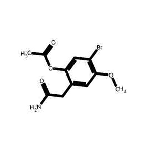 COc1cc(CC(N)=O)c(OC(C)=O)cc1Br